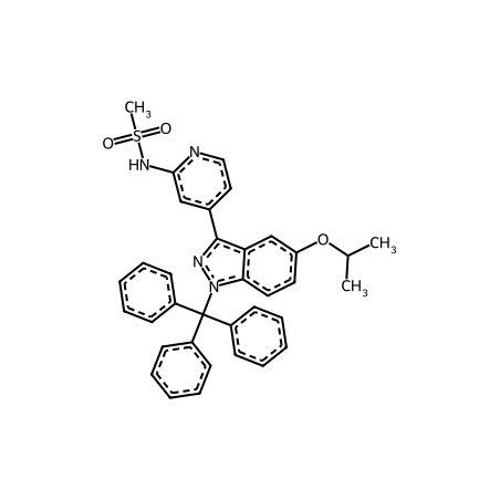 CC(C)Oc1ccc2c(c1)c(-c1ccnc(NS(C)(=O)=O)c1)nn2C(c1ccccc1)(c1ccccc1)c1ccccc1